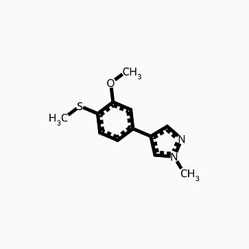 COc1cc(-c2cnn(C)c2)ccc1SC